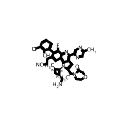 Cc1cnc(-c2nc3c(F)c(-c4cccc(Cl)c4C)c(CCC#N)cc3c3c2cc([C@@H](C)N2CCOCC2=O)n3[C@H]2[C@@H](CN)C[C@@H]2C)cn1